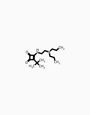 CCCN(CCC)CCNc1c(C(C)(C)C)c(=O)c1=O